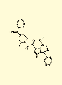 COc1cnc(-c2cnccn2)c2[nH]cc(C(=O)C(=O)N3CCN(C(=N)c4ccccc4)C[C@@H]3C)c12